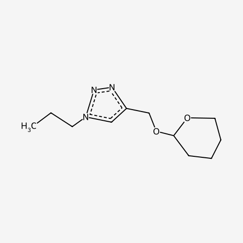 CCCn1cc(COC2CCCCO2)nn1